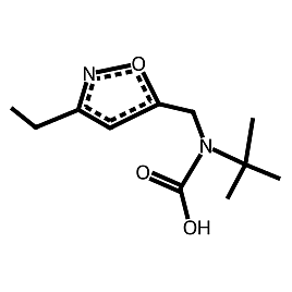 CCc1cc(CN(C(=O)O)C(C)(C)C)on1